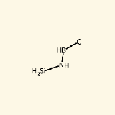 [SiH3]NBCl